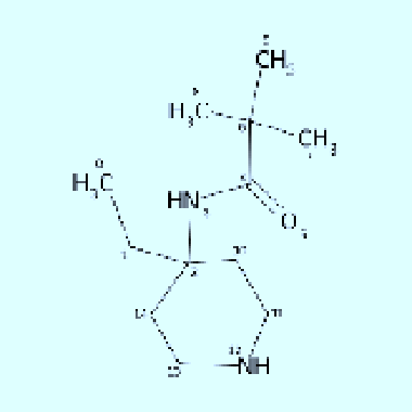 CCC1(NC(=O)C(C)(C)C)CCNCC1